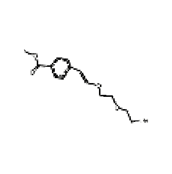 COC(=O)c1ccc(/C=C/OCCOCCO)cc1